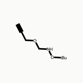 C#CCOCNOC(C)CC